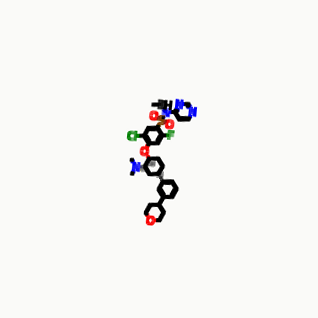 CBN(c1ccncn1)S(=O)(=O)c1cc(Cl)c(O[C@H]2CC[C@H](c3cccc(C4CCOCC4)c3)C[C@@H]2N(C)C)cc1F